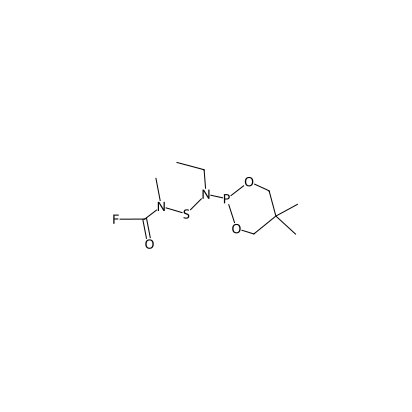 CCN(SN(C)C(=O)F)P1OCC(C)(C)CO1